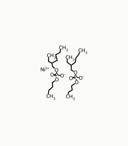 CCCCOP(=O)([O-])OCC(CC)CCCC.CCCCOP(=O)([O-])OCC(CC)CCCC.[Ni+2]